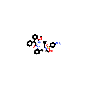 COC(=O)N[C@H](C(=O)Nc1ccccc1CC[C@@H](CO)N(CC1CC1)S(=O)(=O)c1ccc(N)cc1)C(c1ccccc1)c1ccccc1